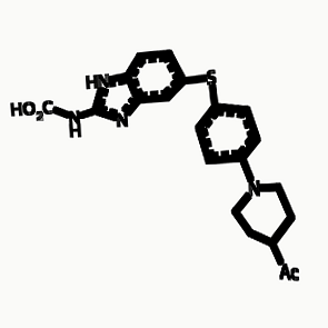 CC(=O)C1CCN(c2ccc(Sc3ccc4[nH]c(NC(=O)O)nc4c3)cc2)CC1